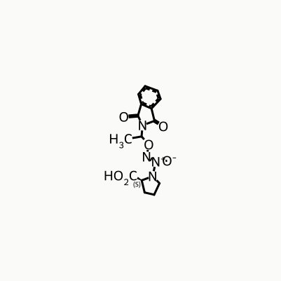 CC(ON=[N+]([O-])N1CCC[C@H]1C(=O)O)N1C(=O)c2ccccc2C1=O